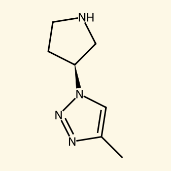 Cc1cn([C@H]2CCNC2)nn1